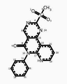 CS(=O)(=O)c1ncc2c(=O)n(-c3ccccc3)c3ncccc3c2n1